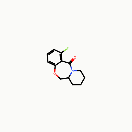 O=C1c2c(F)cccc2OCC2CCCCN12